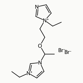 CC[n+]1ccn(C(C)OCC[N+]2(CC)C=CN=C2)c1.[Br-].[Br-]